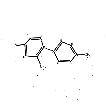 Cc1ccc(-c2ccc(C(F)(F)F)cc2)c(C(F)(F)F)c1